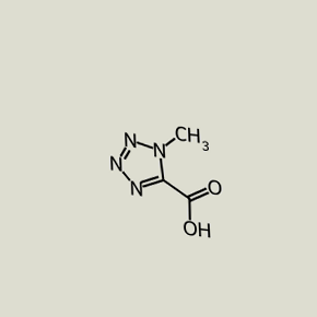 Cn1nnnc1C(=O)O